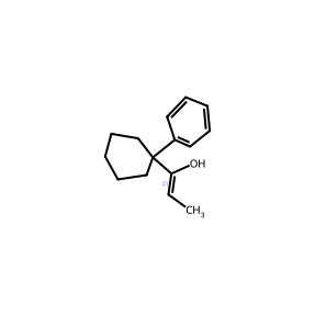 C/C=C(\O)C1(c2ccccc2)CCCCC1